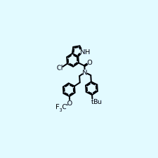 CC(C)(C)c1ccc(CN(CCc2cccc(OC(F)(F)F)c2)C(=O)c2cc(Cl)cc3cc[nH]c23)cc1